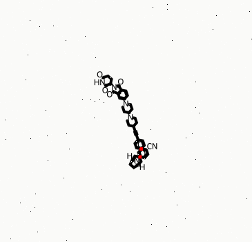 N#Cc1ccc(N2[C@@H]3CC[C@H]2C[C@H](Oc2ccc(C#CC4CCN(C5CCN(c6ccc7c(c6)C(=O)N(C6CCC(=O)NC6=O)C7=O)CC5)CC4)cc2)C3)cc1Cl